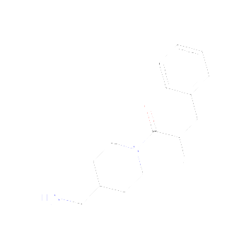 CC(Cc1ccccc1)C(=O)N1CCC(CN)CC1